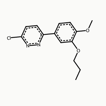 CCCOc1cc(-c2ccc(Cl)nn2)ccc1OC